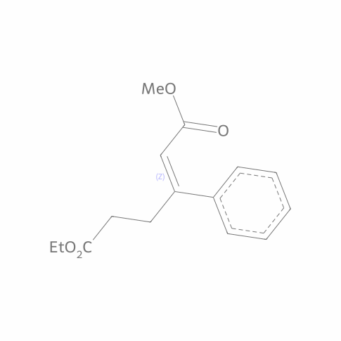 CCOC(=O)CC/C(=C/C(=O)OC)c1ccccc1